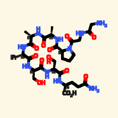 CC(C)[C@H](NC(=O)[C@H](C)NC(=O)[C@H](C)NC(=O)[C@@H]1CCCN1C(=O)CNC(=O)CN)C(=O)N[C@@H](CO)C(=O)N[C@@H](CO)C(=O)N[C@@H](CCC(N)=O)C(=O)O